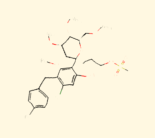 CCCCOC[C@H]1O[C@@](CCCOS(C)(=O)=O)(c2cc(Cc3ccc(CC)cc3)c(Cl)cc2O)[C@H](OCCCC)[C@@H](OCCCC)[C@@H]1OCCCC